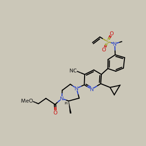 C=CS(=O)(=O)N(C)c1cccc(-c2cc(C#N)c(N3CCN(C(=O)CCOC)[C@H](C)C3)nc2C2CC2)c1